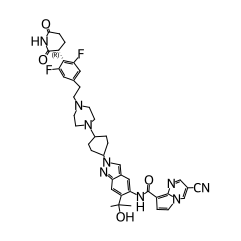 CC(C)(O)c1cc2nn(C3CCC(N4CCN(CCc5cc(F)c([C@H]6CCC(=O)NC6=O)c(F)c5)CC4)CC3)cc2cc1NC(=O)c1ccn2cc(C#N)cnc12